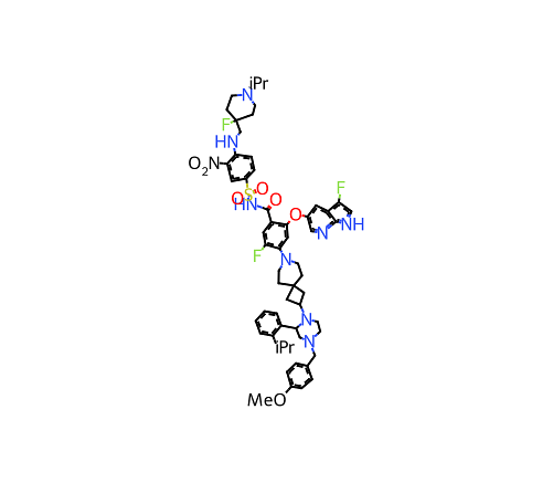 COc1ccc(CN2CCN(C3CC4(CCN(c5cc(Oc6cnc7[nH]cc(F)c7c6)c(C(=O)NS(=O)(=O)c6ccc(NCC7(F)CCN(C(C)C)CC7)c([N+](=O)[O-])c6)cc5F)CC4)C3)C(c3ccccc3C(C)C)C2)cc1